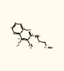 COCCNc1nc2ccccc2[n+]([O-])c1C#N